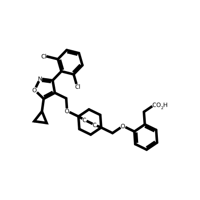 O=C(O)Cc1ccccc1OCC12CCC(OCc3c(-c4c(Cl)cccc4Cl)noc3C3CC3)(CC1)CC2